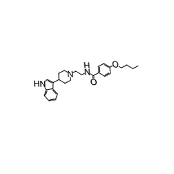 CCCCOc1ccc(C(=O)NCCN2CCC(c3c[nH]c4ccccc34)CC2)cc1